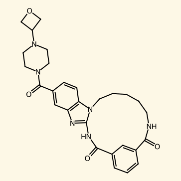 O=C1NCCCCCn2c(nc3cc(C(=O)N4CCN(C5COC5)CC4)ccc32)NC(=O)c2cccc1c2